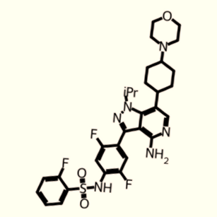 CC(C)n1nc(-c2cc(F)c(NS(=O)(=O)c3ccccc3F)cc2F)c2c(N)ncc(C3CCC(N4CCOCC4)CC3)c21